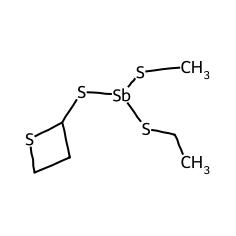 CC[S][Sb]([S]C)[S]C1CCS1